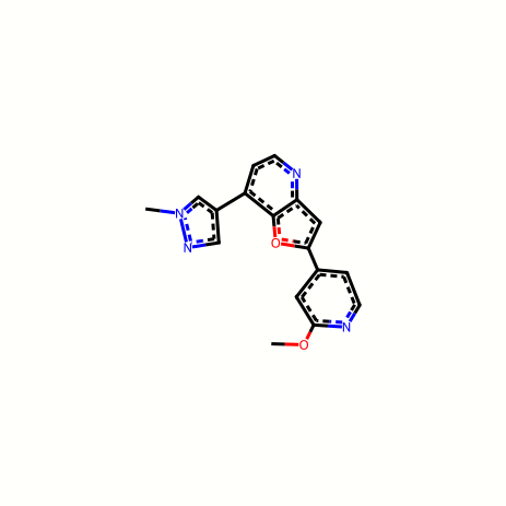 COc1cc(-c2cc3nccc(-c4cnn(C)c4)c3o2)ccn1